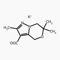 Cc1nn2c(c1C(=O)[O-])COC(C)(C)C2.[K+]